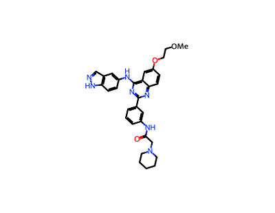 COCCOc1ccc2nc(-c3cccc(NC(=O)CN4CCCCC4)c3)nc(Nc3ccc4[nH]ncc4c3)c2c1